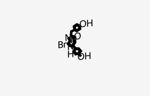 O=c1c(Cc2ccc(O)cc2)nc2c(Br)[nH]c(-c3ccc(O)cc3)cn1-2